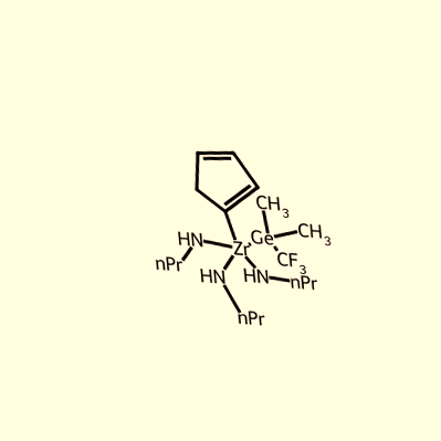 CCC[NH][Zr]([NH]CCC)([NH]CCC)([C]1=CC=CC1)[Ge]([CH3])([CH3])[C](F)(F)F